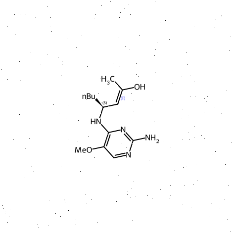 CCCC[C@@H](/C=C(\C)O)Nc1nc(N)ncc1OC